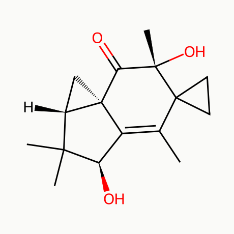 CC1=C2[C@@H](O)C(C)(C)[C@@H]3C[C@]23C(=O)[C@](C)(O)C12CC2